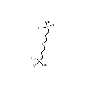 C[N+](C)(C)CCCOCCC[N+](C)(C)C